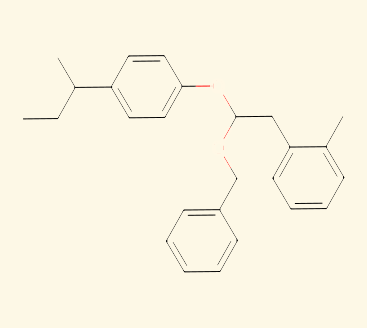 CCC(C)c1ccc(OC(Cc2ccccc2C)OCc2ccccc2)cc1